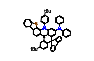 CC(C)(C)c1ccc(N2c3cc(N(c4ccccc4)c4ccccc4)cc4c3B(c3cc(C(C)(C)C)ccc3C43c4ccccc4-c4ccccc43)c3ccc4c(sc5ccccc54)c32)cc1